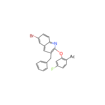 CC(=O)c1ccc(F)cc1Oc1nc2ccc(Br)cc2cc1Cc1ccccc1